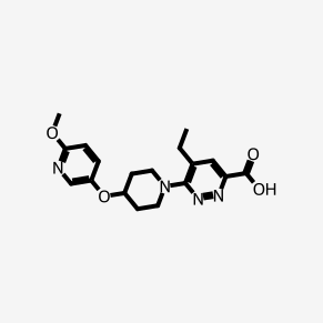 CCc1cc(C(=O)O)nnc1N1CCC(Oc2ccc(OC)nc2)CC1